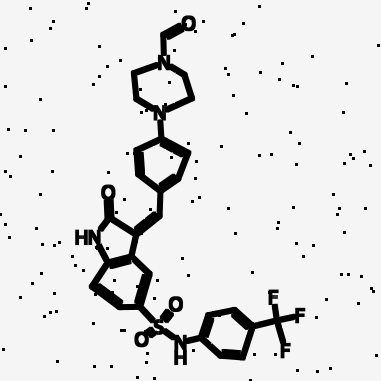 O=CN1CCN(c2ccc(C=C3C(=O)Nc4ccc(S(=O)(=O)Nc5ccc(C(F)(F)F)cc5)cc43)cc2)CC1